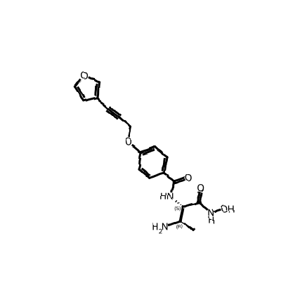 C[C@@H](N)[C@H](NC(=O)c1ccc(OCC#Cc2ccoc2)cc1)C(=O)NO